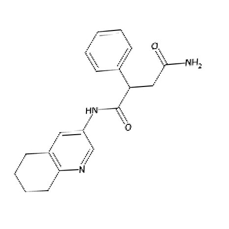 NC(=O)CC(C(=O)Nc1cnc2c(c1)CCCC2)c1ccccc1